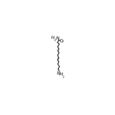 NCCCCCCCCCCCCCCC(N)=O